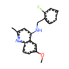 COc1ccc2nc(C)cc(NCc3ccccc3F)c2c1